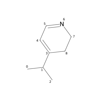 CC(C)C1=CC=NCC1